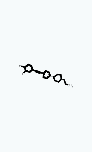 CCC[C@H]1CC[C@H](c2ccc(C#Cc3ccc(Cl)c(F)c3)cc2)CC1